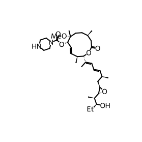 CC[C@H](O)[C@@H](C)[C@H]1O[C@@H]1C[C@H](C)/C=C/C=C(\C)[C@H]1OC(=O)C[C@H](C)CC[C@@](C)(OC)[C@@H](OC(=O)N2CCNCC2)/C=C/[C@@H]1C